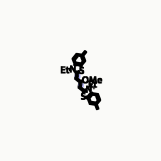 CCN1/C(=C/C(=C/c2sc3cc(C)ccc3[n+]2CC)OC)Sc2cc(C)ccc21